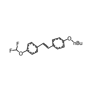 CCCCOc1ccc(C=Cc2ccc(OC(F)F)cc2)cc1